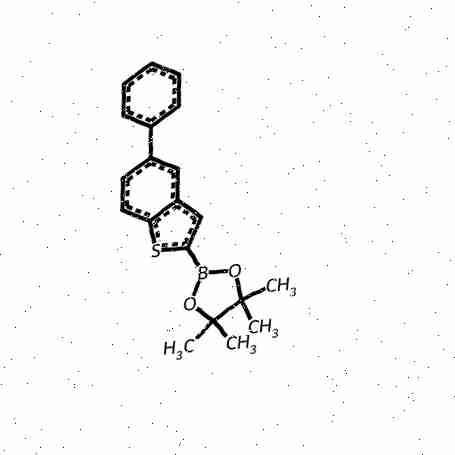 CC1(C)OB(c2cc3cc(-c4ccccc4)ccc3s2)OC1(C)C